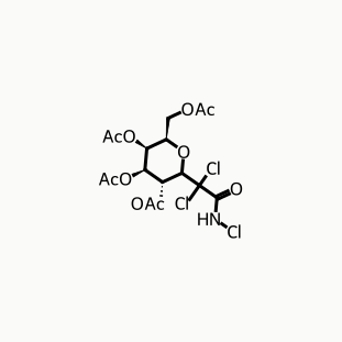 CC(=O)OC[C@H]1OC(C(Cl)(Cl)C(=O)NCl)[C@H](OC(C)=O)[C@@H](OC(C)=O)[C@H]1OC(C)=O